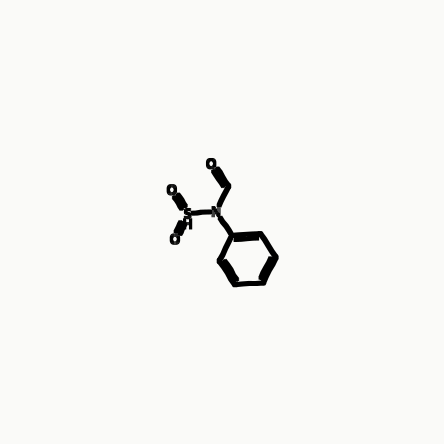 O=CN(c1ccccc1)[SH](=O)=O